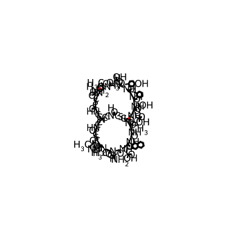 C[C@H](N)C(=O)N[C@H]1CSCC(=O)NCCN2CCNC(=O)CSC[C@@H](C(N)=O)NC(=O)[C@H](C(C)(C)C)NC(=O)[C@H](CC(=O)O)NC(=O)[C@H](Cc3ccc(O)cc3)NC(=O)[C@H](Cc3ccccc3)NC(=O)[C@H](CC(=O)O)NC(=O)[C@H](CCC(=O)O)NC(=O)[C@@H](CSCC(=O)NCC2)NC(=O)[C@@H](C)NC(=O)[C@H](Cc2cccc3ccccc23)NC(=O)[C@H](CCC(=O)O)NC(=O)[C@H](CC(N)=O)NC(=O)[C@@H](C)NC1=O